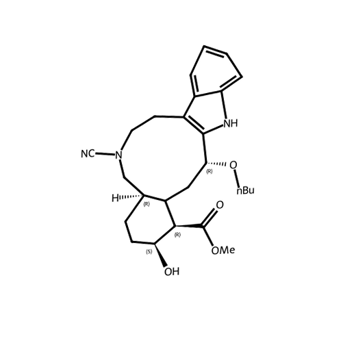 CCCCO[C@@H]1CC2[C@@H](CC[C@H](O)[C@@H]2C(=O)OC)CN(C#N)CCc2c1[nH]c1ccccc21